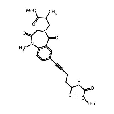 COC(=O)C(C)CN1CC(=O)N(C)c2ccc(C#CCCC(C)NC(=O)OC(C)(C)C)cc2C1=O